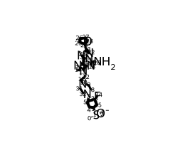 C[S@@+]([O-])c1ccc(N2CCN(CCn3cnc4c3nc(N)n3nc(-c5ccco5)nc43)CC2)c(F)c1